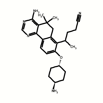 CC(CCC#N)c1c(O[C@H]2CC[C@H](N)CC2)ccc2c1CC(C)(C)c1c(N)ncnc1-2